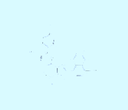 COC(=O)[C@@H](NC(=O)c1nc(-c2ccc(OC)c3nc(C(F)(F)F)ccc23)oc1[C@H](C)N)c1ccc(O)cc1